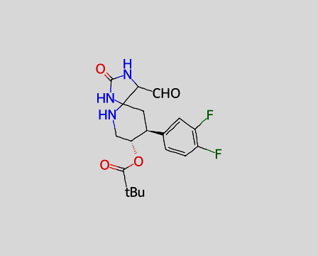 CC(C)(C)C(=O)O[C@@H]1CNC2(C[C@H]1c1ccc(F)c(F)c1)NC(=O)NC2C=O